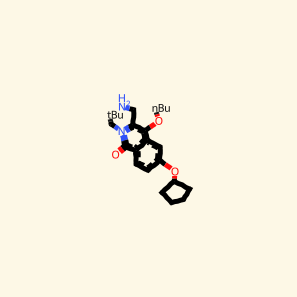 CCCCOc1c(CN)n(CC(C)(C)C)c(=O)c2ccc(OC3CCCC3)cc12